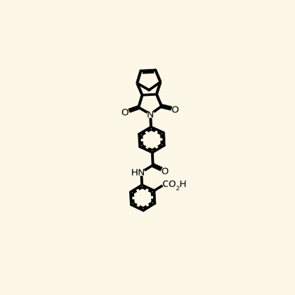 O=C(Nc1ccccc1C(=O)O)c1ccc(N2C(=O)C3C4C=CC(C4)C3C2=O)cc1